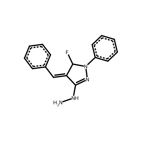 NNC1=NN(c2ccccc2)C(F)C1=Cc1ccccc1